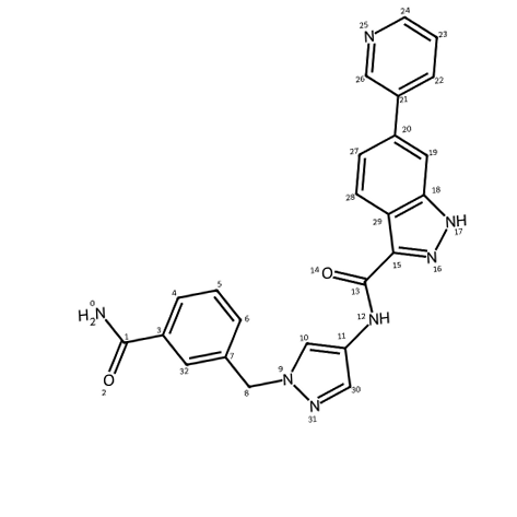 NC(=O)c1cccc(Cn2cc(NC(=O)c3n[nH]c4cc(-c5cccnc5)ccc34)cn2)c1